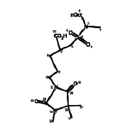 CCCCCCCCN(C)S(=O)(=O)CC(CCCN1C(=O)N(C)C(C)(C)C1=O)C(=O)O